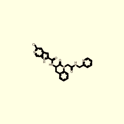 O=C(CN1C(=O)C(NC(=O)c2cc3cc(Cl)ncc3[nH]2)Cc2ccccc21)NCc1ccccn1